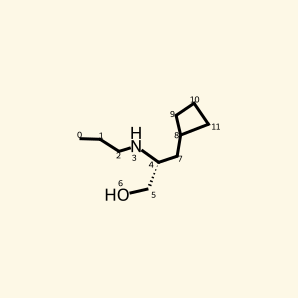 CCCN[C@@H](CO)CC1CCC1